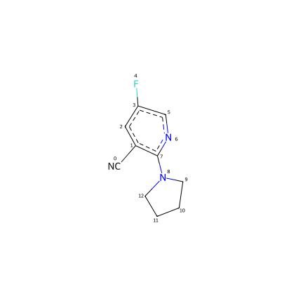 N#Cc1cc(F)cnc1N1CCCC1